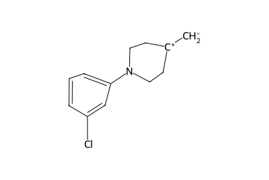 [CH2-][C+]1CCN(c2cccc(Cl)c2)CC1